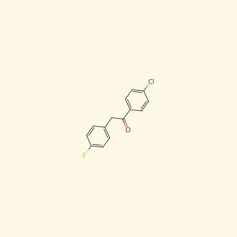 O=C(Cc1ccc(F)cc1)c1ccc(Cl)cc1